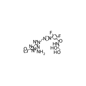 Nc1nc2c(ncn2CCN2CCN(c3cc(C(=O)NCC(O)CO)c(F)cc3F)CC2)c2nc(-c3ccco3)nn12